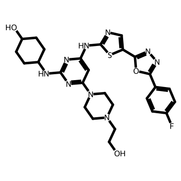 OCCN1CCN(c2cc(Nc3ncc(-c4nnc(-c5ccc(F)cc5)o4)s3)nc(NC3CCC(O)CC3)n2)CC1